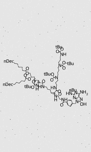 CCCCCCCCCCCCCCCC(=O)OCC(CSC[C@H](NC(=O)OC(C)(C)C)C(=O)NCCCC[C@H](NC(=O)CNC(=O)c1ccc(Cn2c(O)nc3c(N)nc(NCCCC)nc32)cc1)C(=O)NCCCN(CCCCN(CCCNC(=O)OC(C)(C)C)C(=O)OC(C)(C)C)C(=O)OC(C)(C)C)OC(=O)CCCCCCCCCCCCCCC